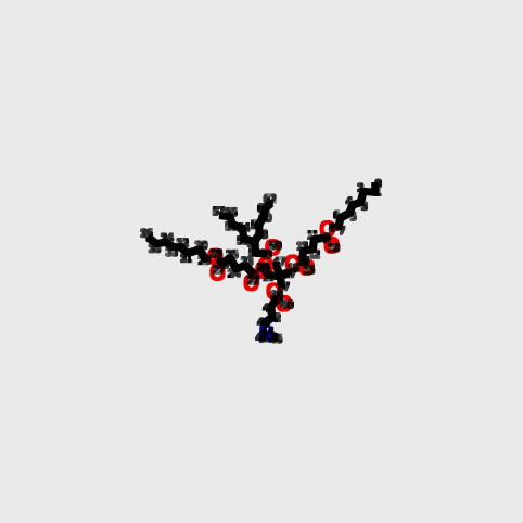 CCCCCCCCOC(=O)CCCC(=O)OCC(COC(=O)CCCC(=O)OCCCCCCCC)(COC(=O)CCCN(C)C)COC(=O)CC(CCCCC)CCCCC